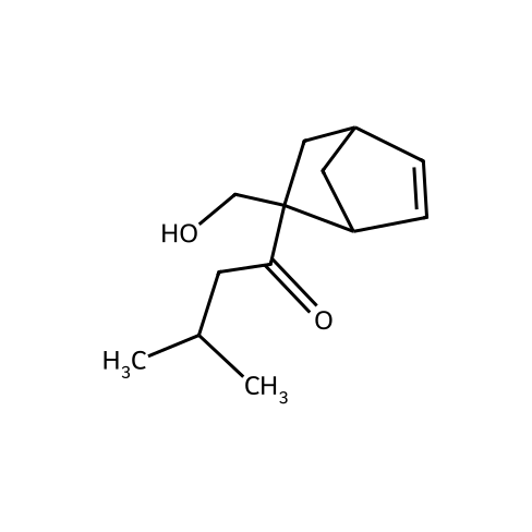 CC(C)CC(=O)C1(CO)CC2C=CC1C2